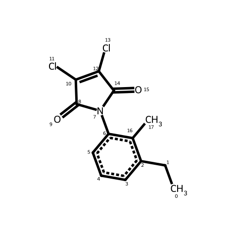 CCc1cccc(N2C(=O)C(Cl)=C(Cl)C2=O)c1C